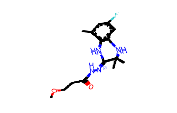 COCCC(=O)N/N=C1\Nc2c(C)cc(F)cc2NC1(C)C